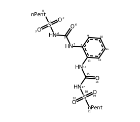 CCCCCS(=O)(=O)NC(=O)Nc1ccccc1NC(=O)NS(=O)(=O)CCCCC